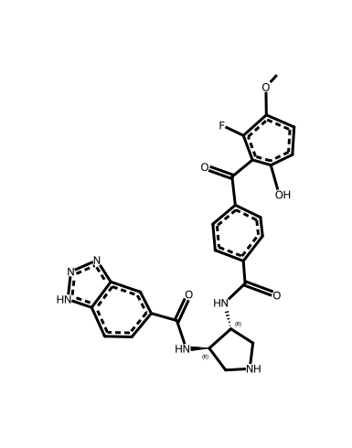 COc1ccc(O)c(C(=O)c2ccc(C(=O)N[C@@H]3CNC[C@H]3NC(=O)c3ccc4[nH]nnc4c3)cc2)c1F